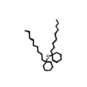 CCCCCCCCCC1(SC2(CCCCCCCCC)CCCCC2)CCCCC1